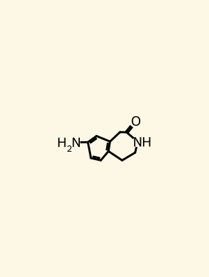 Nc1ccc2c(c1)CC(=O)NCC2